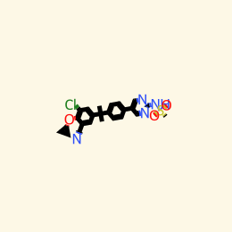 CC(C)(c1ccc(-c2cnc(NS(C)(=O)=O)nc2)cc1)c1cc(Cl)c(OC2CC2)c(C#N)c1